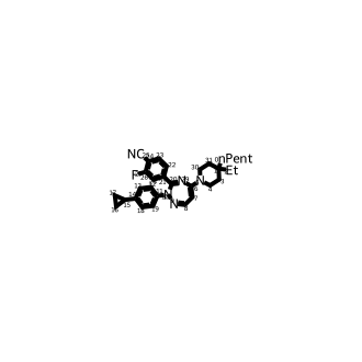 CCCCCC1(CC)CCN(C2=CC=NN(c3ccc(C4CC4)cc3)C(c3ccc(C#N)c(F)c3)=N2)CC1